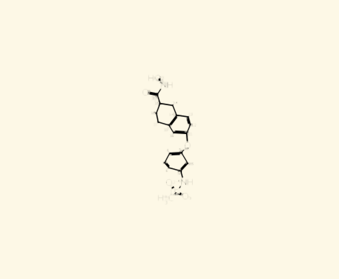 CS(=O)(=O)Nc1cccc(Oc2ccc3c(c2)CCC(C(=O)NO)C3)c1